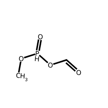 CO[PH](=O)OC=O